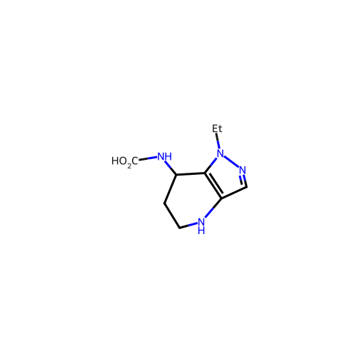 CCn1ncc2c1C(NC(=O)O)CCN2